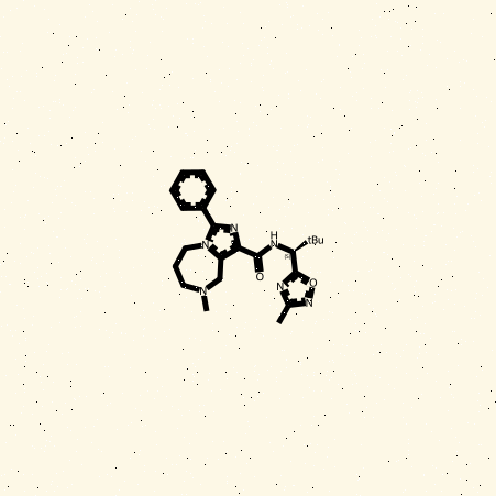 Cc1noc([C@@H](NC(=O)c2nc(-c3ccccc3)n3c2CN(C)CCC3)C(C)(C)C)n1